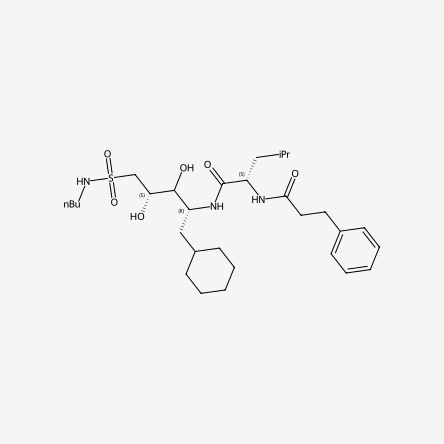 CCCCNS(=O)(=O)C[C@@H](O)C(O)[C@@H](CC1CCCCC1)NC(=O)[C@H](CC(C)C)NC(=O)CCc1ccccc1